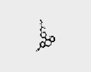 CCOC(=O)CN1CCC(=C2c3ccc(C#N)cc3CCc3cccnc32)CC1